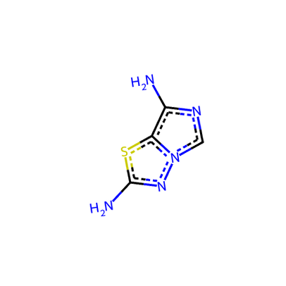 Nc1nn2cnc(N)c2s1